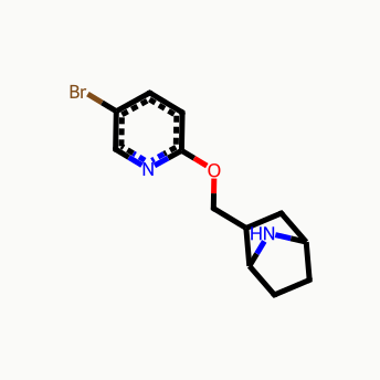 Brc1ccc(OCC2CC3CCC2N3)nc1